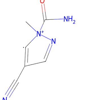 C[N+]1(C(N)=O)[C]=C(C#N)C=N1